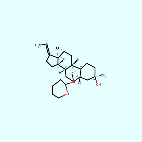 CC=C1CC[C@H]2[C@@H]3CC[C@H]4C[C@](C)(O)CC[C@]4(COC4CCCCO4)[C@H]3CC[C@]12C